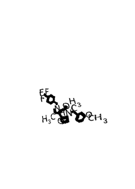 COc1cccc(C(C)NC(=O)c2c(-c3ccco3)c(C)cn2Cc2ccc(C(F)(F)F)cc2)c1